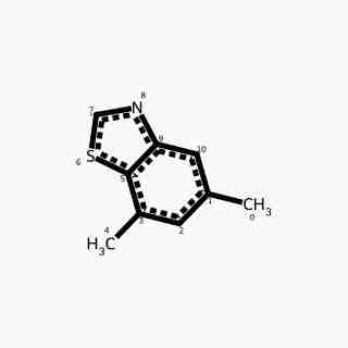 Cc1cc(C)c2s[c]nc2c1